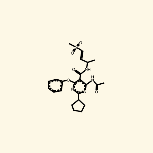 CC(=O)Nc1nc(C2CCCC2)nc(Oc2ccccc2)c1C(=O)NC(C)C=CS(C)(=O)=O